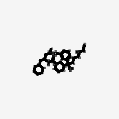 CNCC(CC1CCCCC1)NC(=O)N1CCCC(C(O)(CCCNC=O)c2cccc(Cl)c2)C1